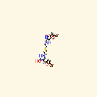 O/N=C(/CNCCSSCCNC/C(Cc1ccc(Br)o1)=N/O)Cc1ccc(Br)o1